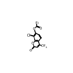 CCC(=O)Oc1ccc2c(C(F)(F)F)cc(=O)oc2c1Cl